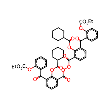 CCOC(=O)Oc1ccccc1C(=O)c1cccc(C(=O)OOC(=O)c2cccc(C(=O)c3ccccc3OC(=O)OCC)c2OC(=O)C2CCCCC2)c1OC(=O)C1CCCCC1